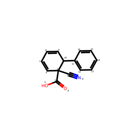 N#CC1(C(=O)O)C=CC=CC1c1ccccc1